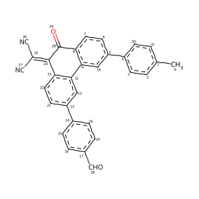 Cc1ccc(-c2ccc3c(c2)-c2cc(-c4ccc(C=O)cc4)ccc2C(=C(C#N)C#N)C3=O)cc1